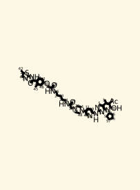 CC(=O)C1=C(C)c2cnc(Nc3ccc(N4CCN(CC(=O)NCCCCCNC(=O)COc5ccc(C(=O)NC6=NCC(C)S6)c(C)c5)CC4)cn3)nc2N(C2CCCC2)C1O